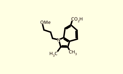 COCCCn1c(C)c(C)c2ccc(C(=O)O)cc21